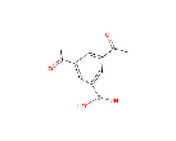 CC(=O)c1cc(B(O)O)cc(C(C)=O)c1